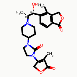 CC1=C(N2CCN(C3CCN([C@H](C)[C@H](O)c4ccc5c(c4C)COC5=O)CC3)C2=O)COC1=O